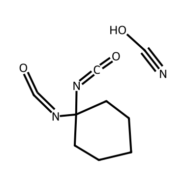 N#CO.O=C=NC1(N=C=O)CCCCC1